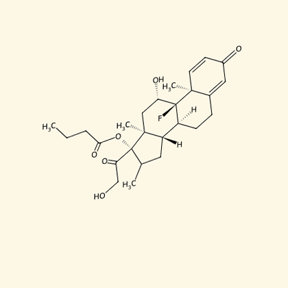 CCCC(=O)O[C@@]1(C(=O)CO)C(C)C[C@H]2[C@@H]3CCC4=CC(=O)C=C[C@]4(C)[C@@]3(F)[C@@H](O)C[C@@]21C